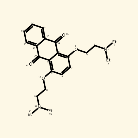 CCN(CC)CCOc1ccc(OCCN(CC)CC)c2c1C(=O)c1ccccc1C2=O